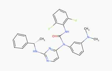 C[C@H](Nc1nccc(N(C(=O)Nc2c(F)cccc2F)c2cccc(N(C)C)c2)n1)c1ccccc1